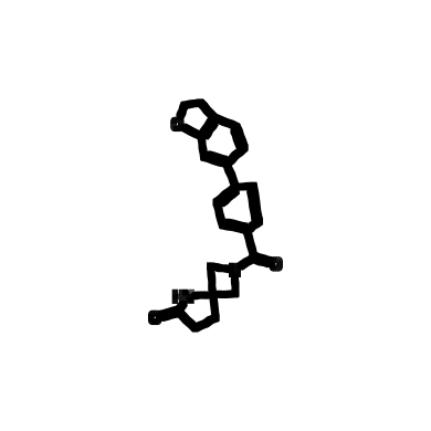 O=C1CCC2(CN(C(=O)c3ccc(-c4ccc5c(c4)OCC5)cc3)C2)N1